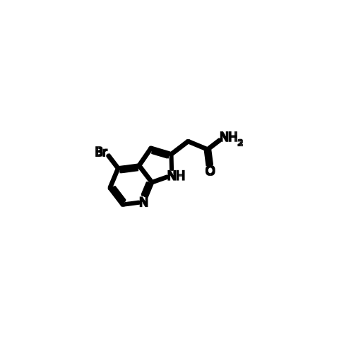 NC(=O)Cc1cc2c(Br)ccnc2[nH]1